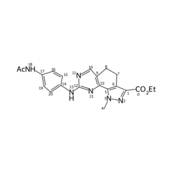 CCOC(=O)c1nn(C)c2c1CCc1cnc(Nc3ccc(NC(C)=O)cc3)nc1-2